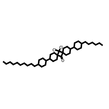 CCCCCCCCCCC1CCC(C2CCC3(CC2)C(=O)C2(CCC(C4CCC(CCCCCC)CC4)CC2)C3(Cl)Cl)CC1